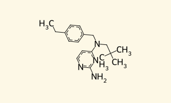 CCc1ccc(CN(CC(C)(C)C)c2ccnc(N)n2)cc1